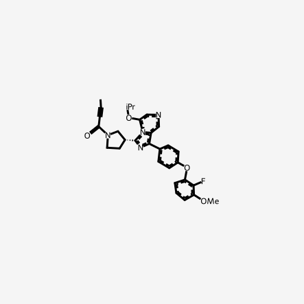 CC#CC(=O)N1CC[C@@H](c2nc(-c3ccc(Oc4cccc(OC)c4F)cc3)c3cncc(OC(C)C)n23)C1